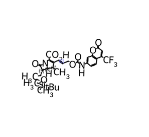 CC(O[Si](C)(C)C(C)(C)C)[C@H]1C(=O)N2C(C(=O)O)=C(/C=C/COC(=O)Nc3ccc4c(C(F)(F)F)cc(=O)oc4c3)[C@H](C)[C@H]12